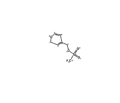 O=S(=O)(OCC1=CCOC=C1)C(F)(F)F